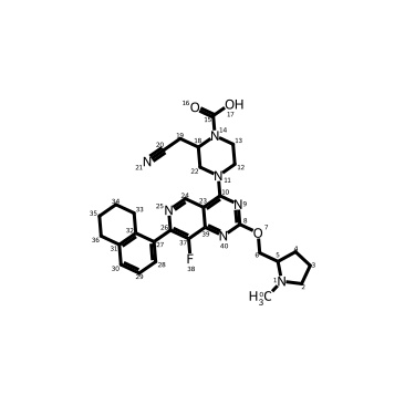 CN1CCCC1COc1nc(N2CCN(C(=O)O)C(CC#N)C2)c2cnc(-c3cccc4c3CCCC4)c(F)c2n1